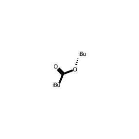 CCC(C)C(=O)O[C@@H](C)CC